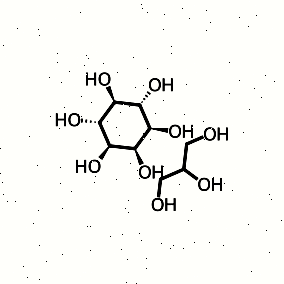 OCC(O)CO.O[C@H]1[C@H](O)[C@@H](O)[C@H](O)[C@@H](O)[C@H]1O